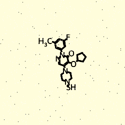 Cc1cc(F)cc(-n2ncc(N3CCN(S)CC3)c(OC3CCCC3)c2=O)c1